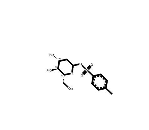 Cc1ccc(S(=O)(=O)OC2C[C@@H](O)[C@H](O)[C@@H](CO)O2)cc1